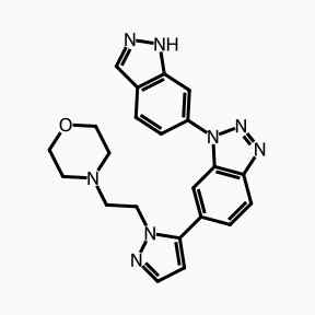 c1cc(-c2ccc3nnn(-c4ccc5cn[nH]c5c4)c3c2)n(CCN2CCOCC2)n1